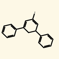 IC1=CC(c2ccccc2)CC(c2ccccc2)=C1